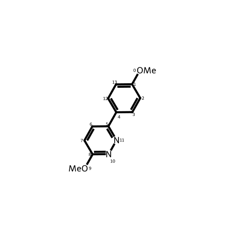 COc1ccc(-c2ccc(OC)nn2)cc1